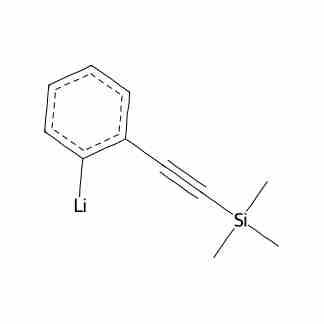 [Li][c]1ccccc1C#C[Si](C)(C)C